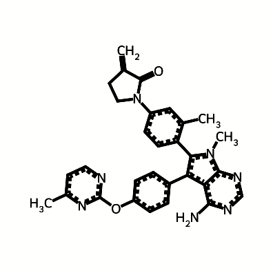 C=C1CCN(c2ccc(-c3c(-c4ccc(Oc5nccc(C)n5)cc4)c4c(N)ncnc4n3C)c(C)c2)C1=O